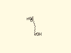 O=C(O)C1(CCCCCCCCCCCCC2(CO)CC2)CC1